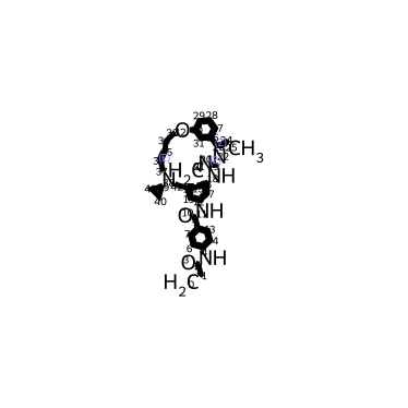 C=CC(=O)Nc1ccc(C(=O)Nc2cc3cc(c2)N/C(N=C)=N/C(=C\C)c2cccc(c2)OCC/C=C/CN(C2CC2)C3)cc1